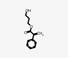 C=C(C(=O)OCCCO)c1ccccc1